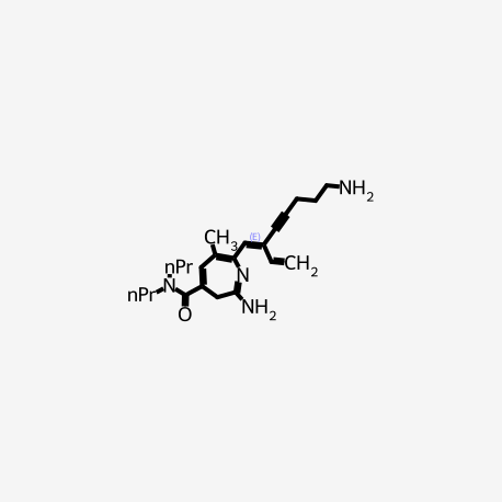 C=C/C(C#CCCCN)=C\C1=C(C)C=C(C(=O)N(CCC)CCC)CC(N)=N1